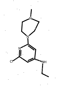 CCNc1cc(Cl)nc(N2CCN(C)CC2)c1